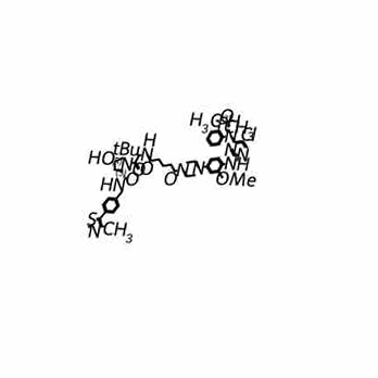 COc1cc(N2CCN(C(=O)CCCC(=O)NC(C(=O)N3C[C@H](O)C[C@H]3C(=O)NCc3ccc(-c4scnc4C)cc3)C(C)(C)C)CC2)ccc1Nc1ncc(Cl)c(Nc2ccccc2P(C)(C)=O)n1